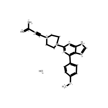 COc1ccc(-c2nc(N3CCN(C#[N+]C(=N)N)CC3)nc3[nH]cnc23)cc1.Cl